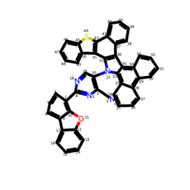 N#Cc1nc(-c2cccc3c2oc2ccccc23)ncc1-n1c2c3ccccc3c3ccccc3c2c2c3ccccc3c3sc4ccccc4c3c21